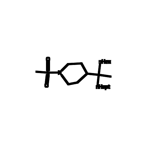 CCCCCCCC(C)(CCCCCC)C1CCN(S(C)(=O)=O)CC1